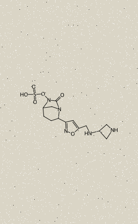 O=C1N2CC(CCC2c2cc(CNC3CNC3)on2)N1OS(=O)(=O)O